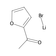 CC(=O)c1ccco1.[Li][Br]